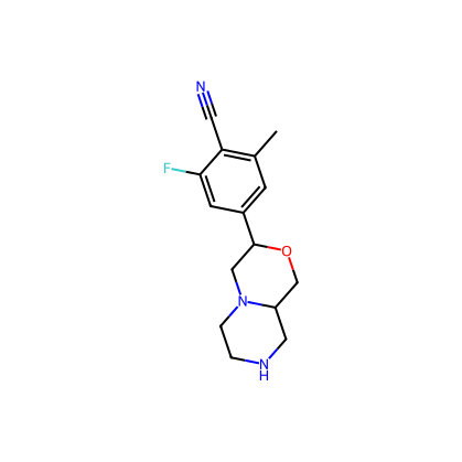 Cc1cc(C2CN3CCNCC3CO2)cc(F)c1C#N